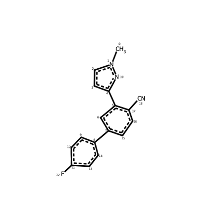 Cn1ccc(-c2cc(-c3ccc(F)cc3)ccc2C#N)n1